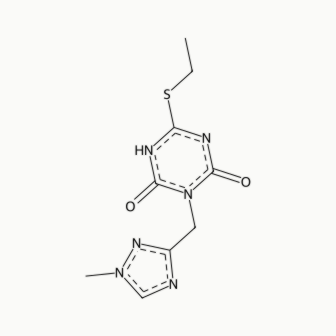 CCSc1nc(=O)n(Cc2ncn(C)n2)c(=O)[nH]1